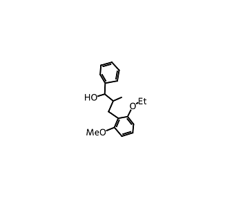 CCOc1cccc(OC)c1CC(C)C(O)c1ccccc1